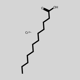 CCCCCCCCCCCC(=O)O.[Cr+3]